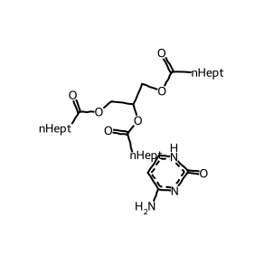 CCCCCCCC(=O)OCC(COC(=O)CCCCCCC)OC(=O)CCCCCCC.Nc1cc[nH]c(=O)n1